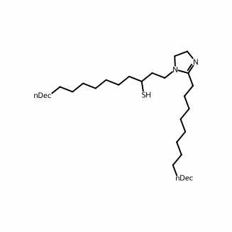 CCCCCCCCCCCCCCCCCCC1=NCCN1CCC(S)CCCCCCCCCCCCCCCCC